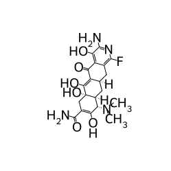 CN(C)[C@@H]1C(O)=C(C(N)=O)C[C@@]2(O)C(O)=C3C(=O)c4c(O)c(N)nc(F)c4C[C@H]3C[C@@H]12